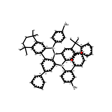 CC(C)(C)c1ccc(N2B3c4cc5c(cc4N(c4ccc(C(C)(C)C)cc4-c4ccccc4)c4cc(-c6ccccc6)cc(c43)-c3cc4c(cc32)C(C)(C)CCC4(C)C)-c2ccccc2C5(C)C)cc1